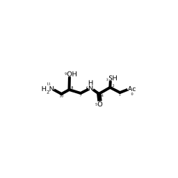 CC(=O)CC(S)C(=O)NCC(O)CN